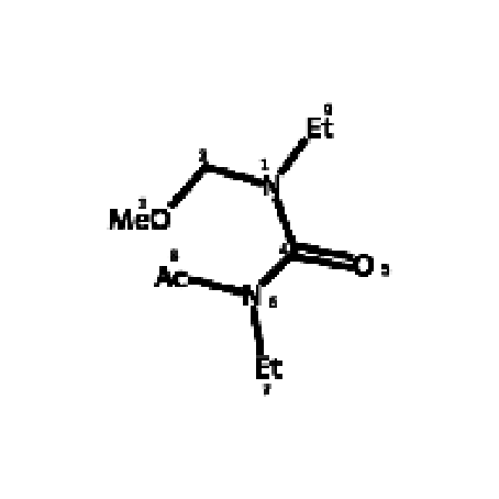 CCN(COC)C(=O)N(CC)C(C)=O